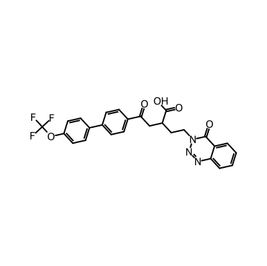 O=C(CC(CCn1nnc2ccccc2c1=O)C(=O)O)c1ccc(-c2ccc(OC(F)(F)F)cc2)cc1